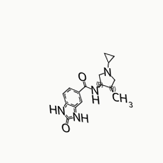 C[C@@H]1CN(C2CC2)C[C@@H]1NC(=O)c1ccc2[nH]c(=O)[nH]c2c1